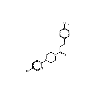 Cc1ccc(CCC(=O)N2CCN(c3ccc(O)cn3)CC2)cc1